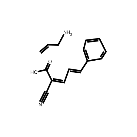 C=CCN.N#CC(=CC=Cc1ccccc1)C(=O)O